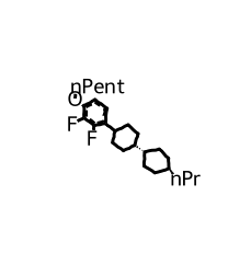 CCCCCOc1ccc(C2CCC([C@H]3CC[C@H](CCC)CC3)CC2)c(F)c1F